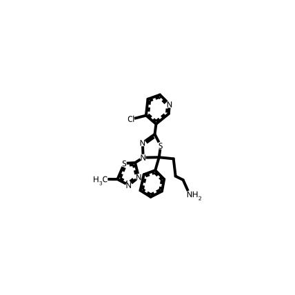 Cc1nnc(N2N=C(c3cnccc3Cl)SC2(CCCN)c2ccccc2)s1